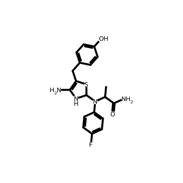 CC(C(N)=O)N(c1ccc(F)cc1)C1NC(N)=C(Cc2ccc(O)cc2)S1